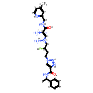 CC(NC(=O)c1cn(CCC(F)CN(N)/C=C(\N)C(=O)NCc2cc(C(F)(F)F)ccn2)nn1)c1ccccc1